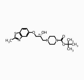 Cc1nc2cc(OC[C@H](O)CN3CCN(C(=O)OC(C)(C)C)CC3)ccc2s1